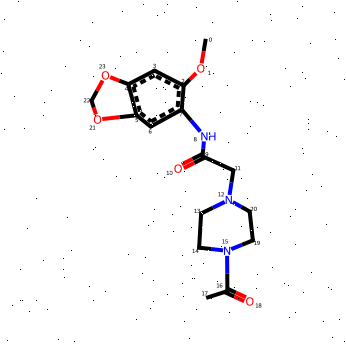 COc1cc2c(cc1NC(=O)CN1CCN(C(C)=O)CC1)OCO2